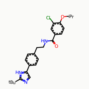 CC(C)Oc1ccc(C(=O)NCCc2ccc(-c3cnc(C(C)(C)C)[nH]3)cc2)cc1Cl